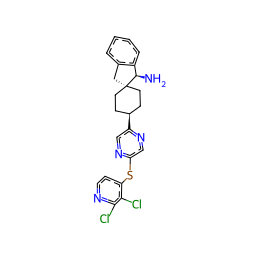 N[C@@H]1c2ccccc2C[C@]12CC[C@H](c1cnc(Sc3ccnc(Cl)c3Cl)cn1)CC2